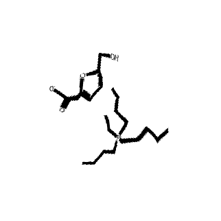 CCCC[P+](CC)(CCCC)CCCC.O=C([O-])c1ccc(CO)o1